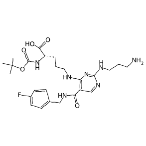 CC(C)(C)OC(=O)N[C@@H](CCCNc1nc(NCCCN)ncc1C(=O)NCc1ccc(F)cc1)C(=O)O